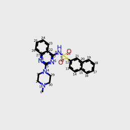 CN1CCN(c2nc(NS(=O)(=O)c3ccc4ccccc4c3)c3ccccc3n2)CC1